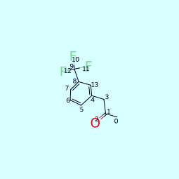 CC(=O)Cc1cccc(C(F)(F)F)c1